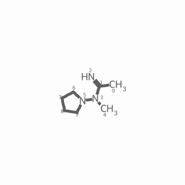 CC(=N)N(C)N1CCCC1